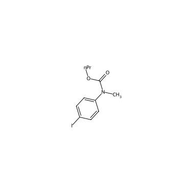 [CH2]CCOC(=O)N(C)c1ccc(I)cc1